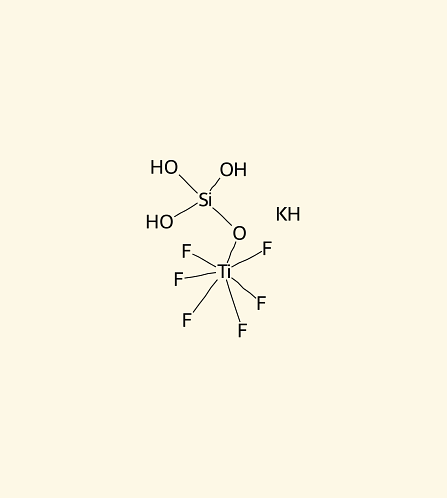 O[Si](O)(O)[O][Ti]([F])([F])([F])([F])([F])[F].[KH]